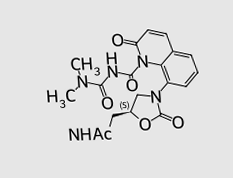 CC(=O)NC[C@H]1CN(c2cccc3ccc(=O)n(C(=O)NC(=O)N(C)C)c23)C(=O)O1